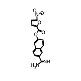 N=C(N)c1ccc2cc(OC(=O)c3ccc([N+](=O)[O-])o3)ccc2c1